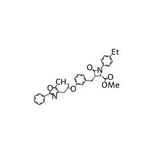 CCc1ccc(N2C(=O)[C@H](Cc3cccc(OCCc4nc(-c5ccccc5)oc4C)c3)[C@@H]2C(=O)OC)cc1